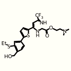 CCSc1cc(-c2ccc(/C(=C/C(=N)C(F)(F)F)NCC(=O)OCCN(C)C)s2)ccc1CO